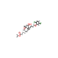 CC(C)OC(=O)CCC[C@H]1CC[C@@H]2[C@@H](/C=C/CCOc3cc(F)ccc3F)[C@H](O)C[C@@H]2OC1